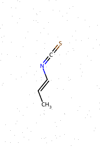 CC=CN=C=S